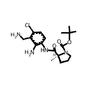 CC(C)(C)OC(=O)N1CCC[C@@]1(C)C(=O)Nc1ccc(Cl)c(CN)c1N